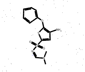 CN(C)/C=N\S(=O)(=O)c1cc(N)c(Oc2ccccc2)s1